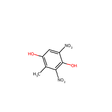 Cc1c(O)cc([N+](=O)[O-])c(O)c1[N+](=O)[O-]